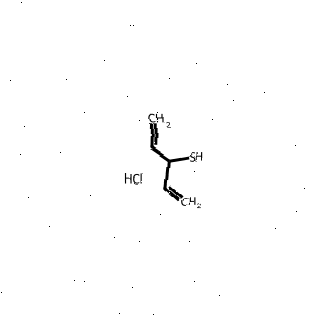 C=CC(S)C=C.Cl